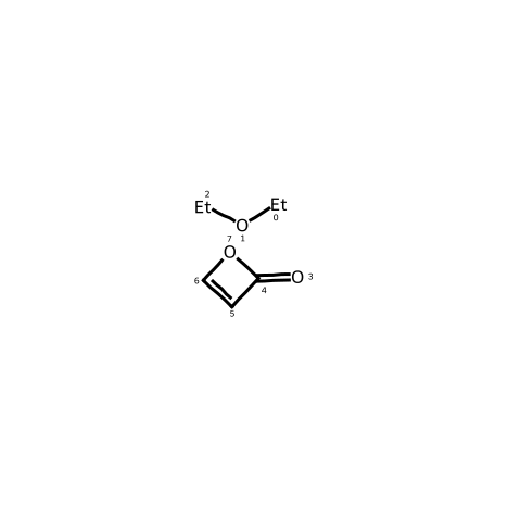 CCOCC.O=C1C=CO1